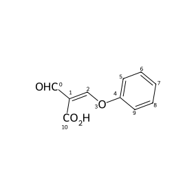 O=CC(=COc1ccccc1)C(=O)O